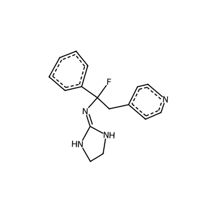 FC(Cc1ccncc1)(N=C1NCCN1)c1ccccc1